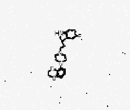 Fc1ccc2c(c1)C(CCN1CCN(c3cccc4c3OCCO4)CC1)CN2